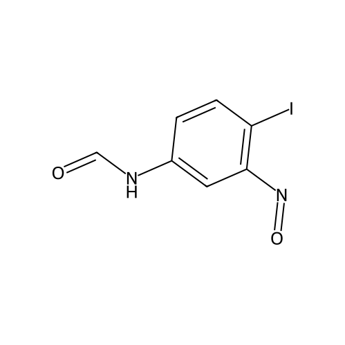 O=CNc1ccc(I)c(N=O)c1